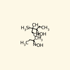 C=CC(C)([SiH3])C(CC)=NO.CCC(C)=NO